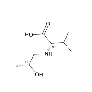 CC(C)[C@H](NC[C@@H](C)O)C(=O)O